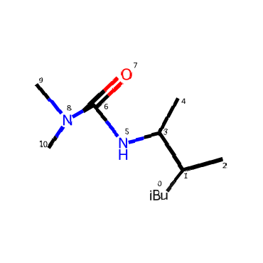 CCC(C)C(C)C(C)NC(=O)N(C)C